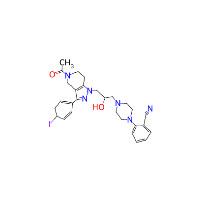 CC(=O)N1CCc2c(c(C3=CCC(I)C=C3)nn2CC(O)CN2CCN(c3ccccc3C#N)CC2)C1